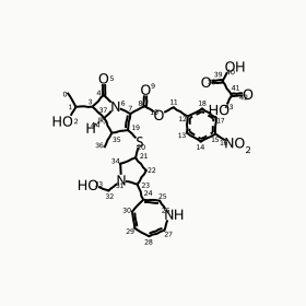 CC(O)C1C(=O)N2C(C(=O)OCc3ccc([N+](=O)[O-])cc3)=C(SC3CC(C4=CNC=CC=C4)N(CO)C3)C(C)[C@@H]12.O=C(O)C(=O)O